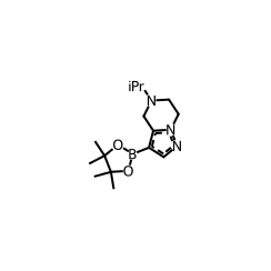 CC(C)N1CCn2ncc(B3OC(C)(C)C(C)(C)O3)c2C1